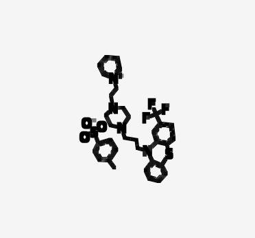 Cc1ccc(S(=O)(=O)[O-])cc1.FC(F)(F)c1ccc2c(c1)N(CCCN1CCN(CC[n+]3ccccc3)CC1)c1ccccc1S2